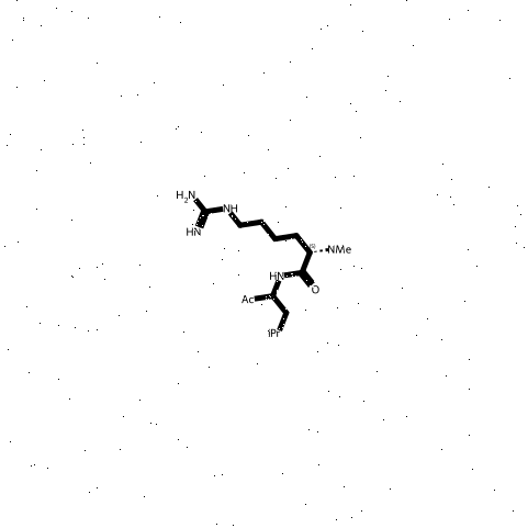 CN[C@@H](CCCCNC(=N)N)C(=O)NC(CC(C)C)C(C)=O